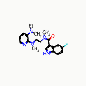 CCN(C)c1cccnc1N(C)CCN(C)C(=O)c1c[nH]c2ccc(F)cc12